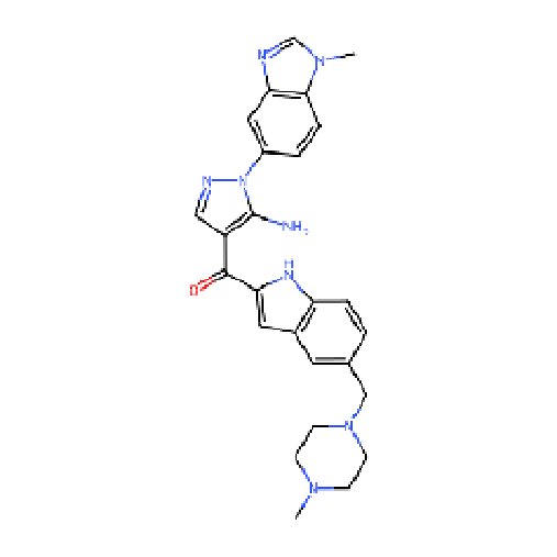 CN1CCN(Cc2ccc3[nH]c(C(=O)c4cnn(-c5ccc6c(c5)ncn6C)c4N)cc3c2)CC1